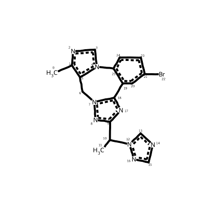 Cc1ncn2c1Cn1nc(C(C)n3cncn3)nc1-c1cc(Br)ccc1-2